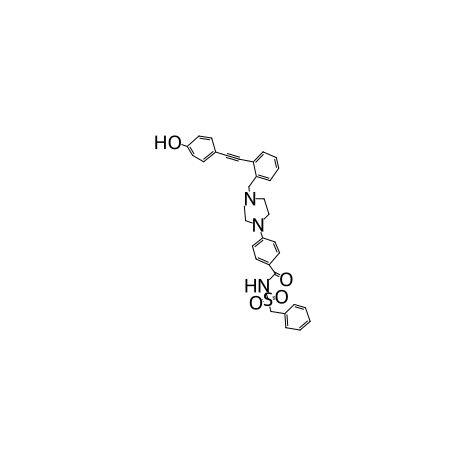 O=C(NS(=O)(=O)Cc1ccccc1)c1ccc(N2CCN(Cc3ccccc3C#Cc3ccc(O)cc3)CC2)cc1